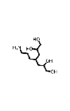 NCCCC(CC(O)CO)CC(O)CO